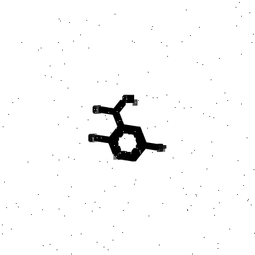 CC(Cl)c1cc(Br)cnc1Cl